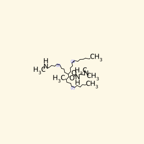 CCCCC/C=C\CCC(C)C(OC(=O)NCCN(C)C)C(CCC/C=C\CCCCCC)CCC/C=C\CCCNC